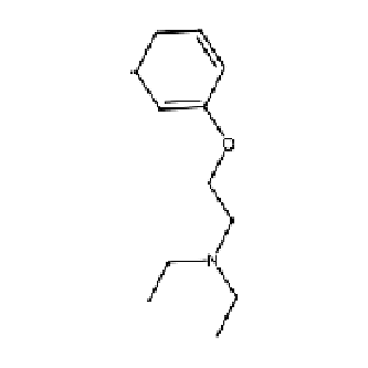 CCN(CC)CCOC1=C[CH]CC=C1